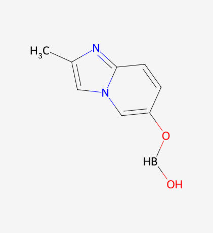 Cc1cn2cc(OBO)ccc2n1